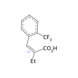 CC/C(=C/c1ccccc1C(F)(F)F)C(=O)O